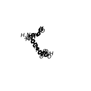 CN1CCN(C2CC3CC2N(c2ccc(C(N)=O)c(Nc4ccc(C5CCN(C6CN(c7ccc8c(c7)C(=O)N(C7CCC(=O)NC7=O)C8=O)C6)CC5)cc4)n2)C3)C1=O